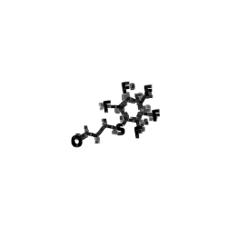 O=CCCSc1c(F)c(F)c(F)c(F)c1F